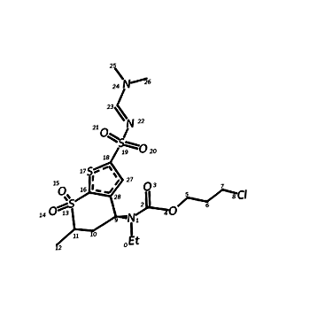 CCN(C(=O)OCCCCl)[C@H]1CC(C)S(=O)(=O)c2sc(S(=O)(=O)/N=C/N(C)C)cc21